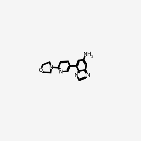 Nc1cc(-c2ccc(N3CCOCC3)nc2)c2nccnc2c1